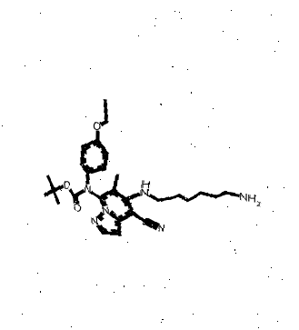 CCOc1ccc(N(C(=O)OC(C)(C)C)c2c(C)c(NCCCCCCN)c(C#N)c3ccnn23)cc1